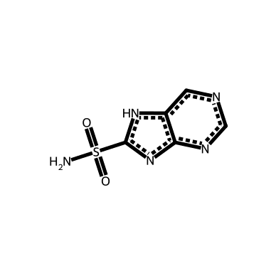 NS(=O)(=O)c1nc2ncncc2[nH]1